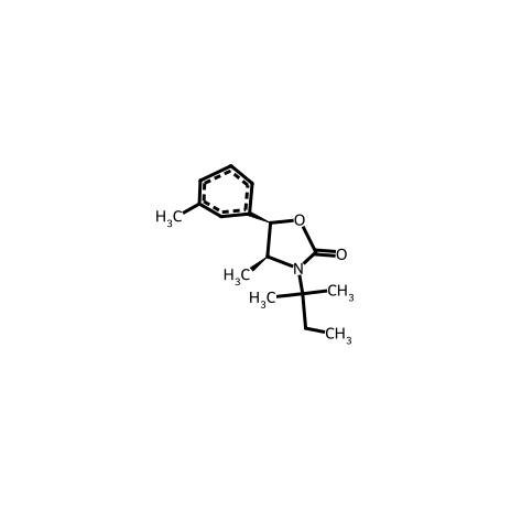 CCC(C)(C)N1C(=O)O[C@H](c2cccc(C)c2)[C@@H]1C